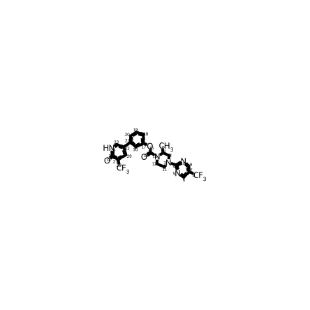 CC1CN(c2ncc(C(F)(F)F)cn2)CCN1C(=O)Oc1cccc(-c2c[nH]c(=O)c(C(F)(F)F)c2)c1